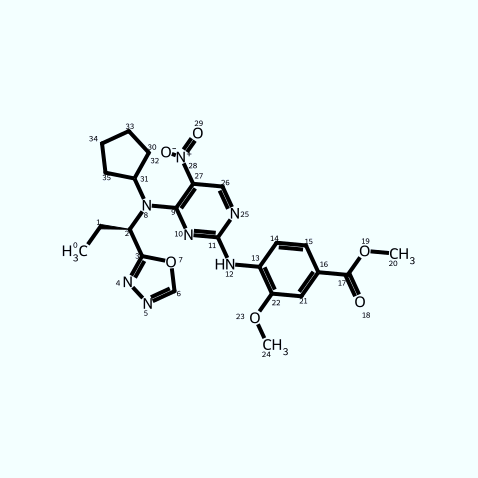 CC[C@H](c1nnco1)N(c1nc(Nc2ccc(C(=O)OC)cc2OC)ncc1[N+](=O)[O-])C1CCCC1